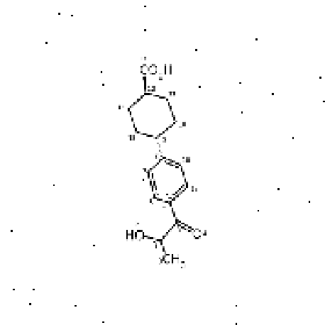 CC(O)C(=O)c1ccc([C@H]2CC[C@H](C(=O)O)CC2)cc1